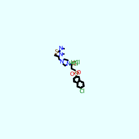 CN=c1scc(CN2CCN(C(=O)CCS(=O)(=O)c3ccc4cc(Cl)ccc4c3)CC2)n1C.Cl.Cl